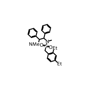 CCc1ccc(CS(=O)(=O)N(C)C(c2ccccc2)C(NC)c2ccccc2)c(CC)c1